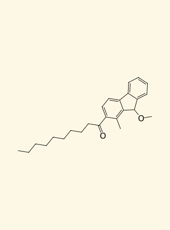 CCCCCCCCCC(=O)c1ccc2c(c1C)C(OC)c1ccccc1-2